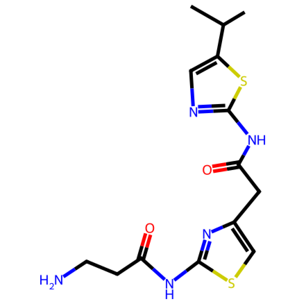 CC(C)c1cnc(NC(=O)Cc2csc(NC(=O)CCN)n2)s1